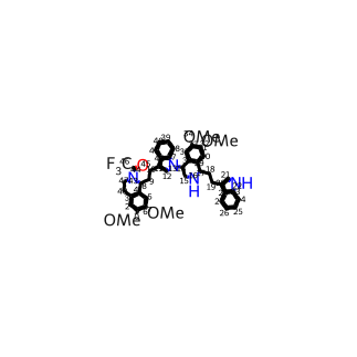 COc1cc2c(cc1OC)C(CCc1cn(C3CNC(CCc4c[nH]c5ccccc45)c4cc(OC)c(OC)cc43)c3ccccc13)N(C(=O)C(F)(F)F)CC2